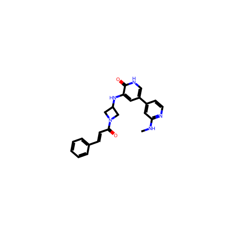 CNc1cc(-c2c[nH]c(=O)c(NC3CN(C(=O)/C=C/c4ccccc4)C3)c2)ccn1